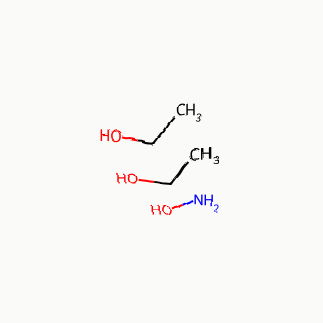 CCO.CCO.NO